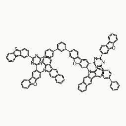 c1ccc(-c2ccc(-c3nc(-c4ccc5c(c4)oc4ccccc45)nc(-c4cc5c(cc4-n4c6ccccc6c6cc7ccccc7cc64)oc4cc(-c6cccc(-c7ccc(-c8nc(-c9ccc%10sc%11ccccc%11c%10c9)nc(-c9cc%10c(cc9-n9c%11ccccc%11c%11cc%12ccccc%12cc%119)oc9ccccc9%10)n8)cc7)c6)ccc45)n3)cc2)cc1